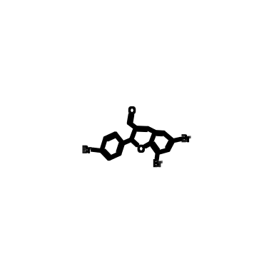 O=CC1=Cc2cc(Br)cc(Br)c2OC1c1ccc(Br)cc1